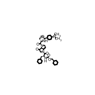 CC(C)C[C@H](NC(=O)c1ccc(N(C)C)cc1)C(=O)N1CC=C2C1C(=O)CN2C(=O)[C@H](Cc1ccccc1)NC(=O)OCc1ccccc1